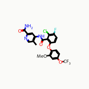 COc1cc(OC(F)(F)F)ccc1Oc1ccc(F)c(Cl)c1C(=O)Nc1cc(C(N)=O)ncc1C